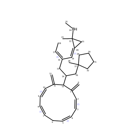 C=C1/C=C\C=C/C/C=C\C=C/C(=C)C1C(CC(=C/C)/C=C1/CC1(C)BC)CC1(C)CCCC1